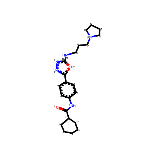 O=C(Nc1ccc(-c2nnc(NCCCN3CCCC3)o2)cc1)C1CCCCC1